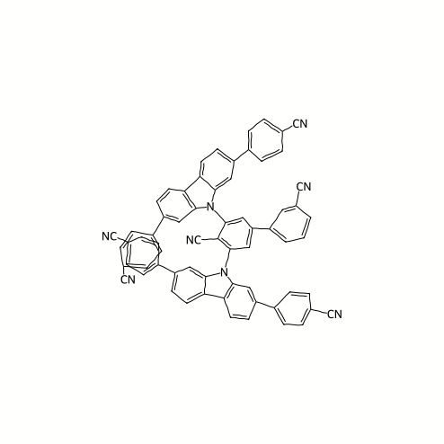 N#Cc1ccc(-c2ccc3c4ccc(-c5ccc(C#N)cc5)cc4n(-c4cc(-c5cccc(C#N)c5)cc(-n5c6cc(-c7ccc(C#N)cc7)ccc6c6ccc(-c7ccc(C#N)cc7)cc65)c4C#N)c3c2)cc1